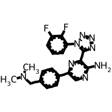 CN(C)Cc1ccc(-c2cnc(N)c(-c3nnnn3-c3cccc(F)c3F)n2)cc1